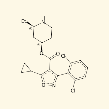 CC[C@@H]1C[C@H](OC(=O)c2c(-c3c(Cl)cccc3Cl)noc2C2CC2)CCN1